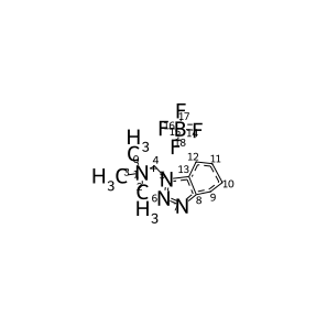 C[N+](C)(C)Cn1nnc2ccccc21.F[B-](F)(F)F